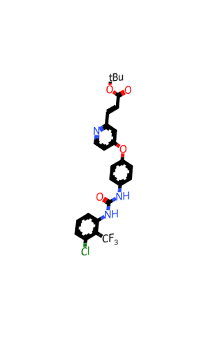 CC(C)(C)OC(=O)C=Cc1cc(Oc2ccc(NC(=O)Nc3cccc(Cl)c3C(F)(F)F)cc2)ccn1